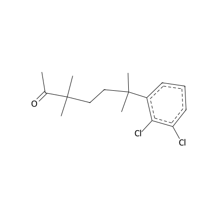 CC(=O)C(C)(C)CCC(C)(C)c1cccc(Cl)c1Cl